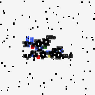 CN(C)CCOc1ccc(N)cc1.COc1ccc(Cl)c(-c2ccc(C(=O)Nc3ncc[nH]3)c3nccnc23)c1.Cc1cscc1-c1ccc(C(=O)O)c2nccnc12